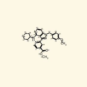 COC(=O)c1ccnc(-c2nn(Cc3ccc(OC)cc3)c3ccnc(NC4CCOCC4)c23)c1